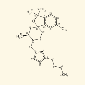 CSCCn1cc(CN2CCC3(C[C@@H]2C)OC(C)(C)c2ccc(Cl)cc23)nn1